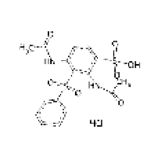 CC(=O)Nc1ccc(S(=O)(=O)O)c(NC(C)=O)c1S(=O)(=O)c1ccccc1.Cl